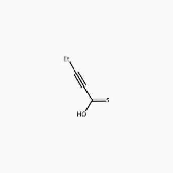 CCC#CC(O)=S